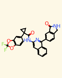 O=C1NCc2ccc(-c3nc(NC(=O)C4(c5ccc6c(c5)OC(F)(F)O6)CC4)cc4ccccc34)cc21